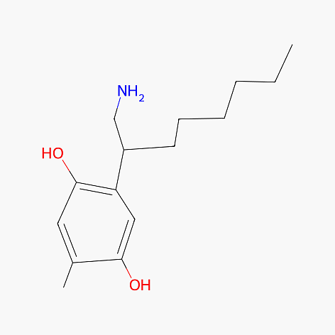 CCCCCCC(CN)c1cc(O)c(C)cc1O